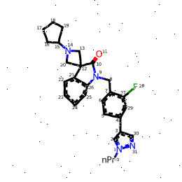 CCCn1cc(-c2ccc(CN3C(=O)C4(CN(C5CCCC5)C4)c4ccccc43)c(F)c2)cn1